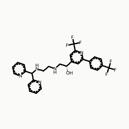 O[C@H](CNCCNC(c1ccccn1)c1ccccn1)c1cc(-c2ccc(C(F)(F)F)cc2)nc(C(F)(F)F)c1